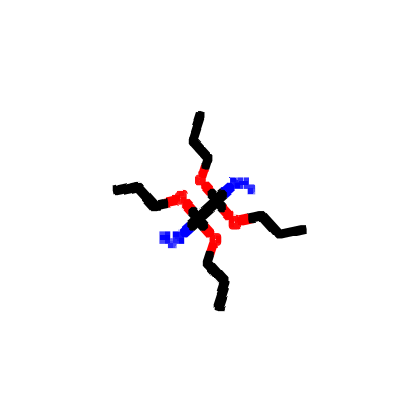 CCCOC(N)(OCCC)C(N)(OCCC)OCCC